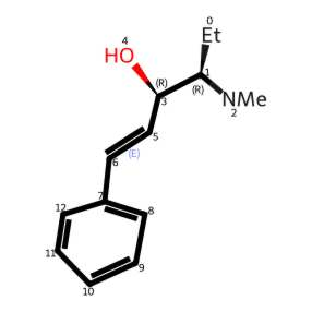 CC[C@@H](NC)[C@H](O)/C=C/c1ccccc1